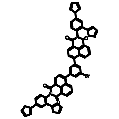 O=C1c2cccc3c(-c4cc(Br)cc(-c5ccc6c7c(cccc57)C(=O)N(c5ccc(C7C=CC=C7)cc5C5=CC=CC5)C6=O)c4)ccc(c23)C(=O)N1c1ccc(C2=CC=CC2)cc1C1=CC=CC1